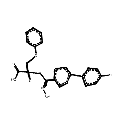 O=C(O)C(F)(CSc1ccccc1)CC(=NO)c1ccc(-c2ccc(Cl)cc2)cc1